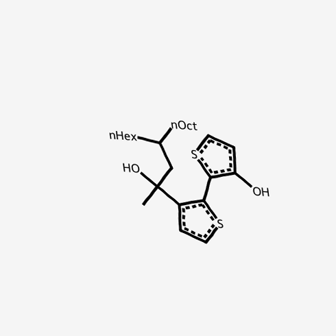 CCCCCCCCC(CCCCCC)CC(C)(O)c1ccsc1-c1sccc1O